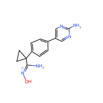 N/C(=N\O)C1(c2ccc(-c3cnc(N)nc3)cc2)CC1